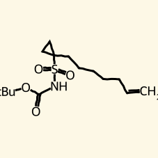 C=CCCCCCC1(S(=O)(=O)NC(=O)OC(C)(C)C)CC1